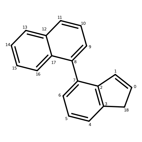 C1=Cc2c(cccc2-c2cccc3ccccc23)C1